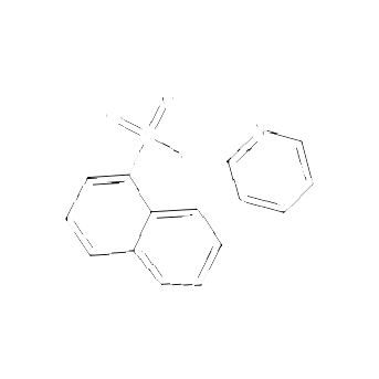 O=S(=O)(Cl)c1cccc2ccccc12.c1ccncc1